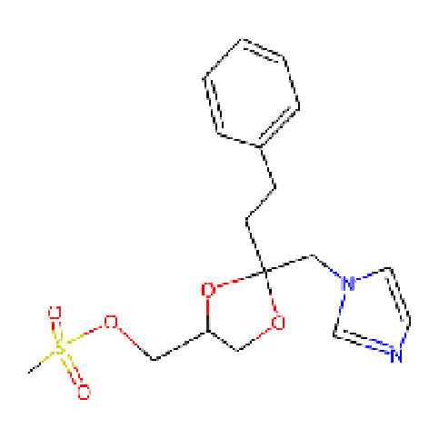 CS(=O)(=O)OCC1COC(CCc2ccccc2)(Cn2ccnc2)O1